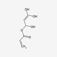 C=CC(=O)OC(O)C=C(O)O